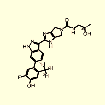 [2H]C([2H])([2H])c1cc(O)c(F)cc1-c1ccc2c(-c3nc4c([nH]3)CN(C(=O)NC[C@@H](C)O)C4)n[nH]c2c1